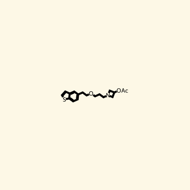 CC(=O)OC1CN(CCCOCCc2ccc3sccc3c2)C1